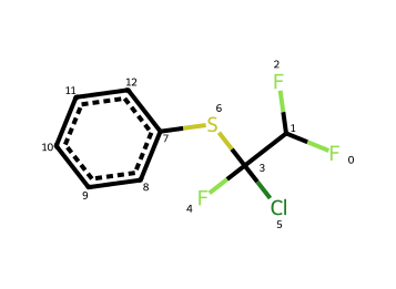 FC(F)C(F)(Cl)Sc1ccccc1